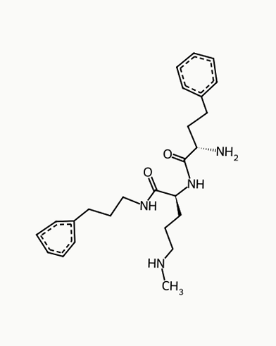 CNCCC[C@H](NC(=O)[C@@H](N)CCc1ccccc1)C(=O)NCCCc1ccccc1